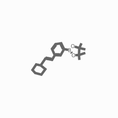 CC1(C)OB(c2cccc(C=CC3CCCCC3)c2)OC1(C)C